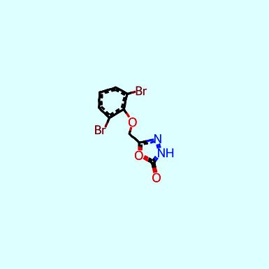 O=c1[nH]nc(COc2c(Br)cccc2Br)o1